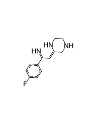 N=C(/C=C1/CNCCN1)c1ccc(F)cc1